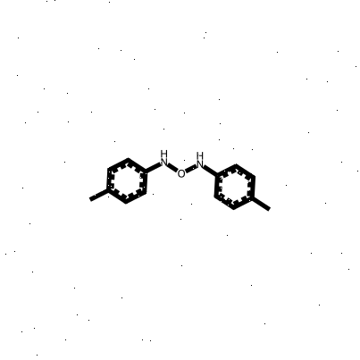 Cc1ccc(NONc2ccc(C)cc2)cc1